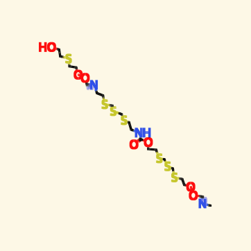 C/N=C/OOCCSCSCSCCOC(=O)NCCSCSCSCC/N=C/OOCCSCCO